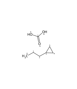 CCCC1CC1.O=C(O)O